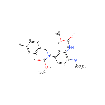 CCOC(=O)Nc1ccc(N(Cc2ccc(C)cc2)C(=O)OC(C)(C)C)cc1NC(=O)OC(C)(C)C